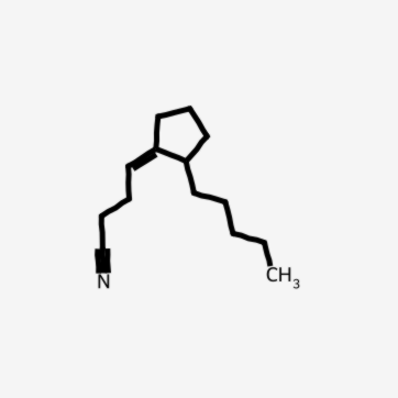 CCCCCC1CCC/C1=C/CCC#N